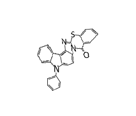 O=c1c2ccccc2sc2nc3c4c5ccccc5n(-c5ccccc5)c4ccc3n12